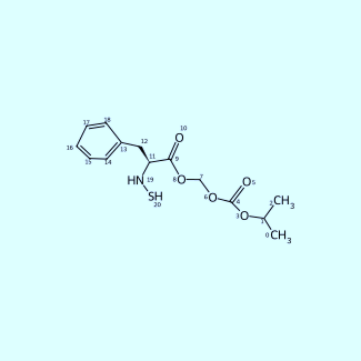 CC(C)OC(=O)OCOC(=O)[C@H](Cc1ccccc1)NS